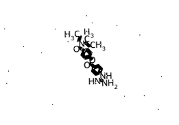 CCCN(C(=O)c1ccc(OC(=O)c2ccc(NC(=N)N)cc2)cc1)C(C)CC